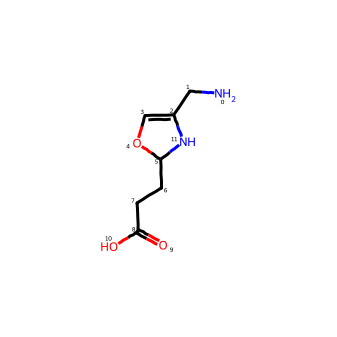 NCC1=COC(CCC(=O)O)N1